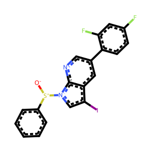 [O-][S+](c1ccccc1)n1cc(I)c2cc(-c3ccc(F)cc3F)cnc21